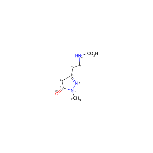 CN1N=C(CCNC(=O)O)CC1=O